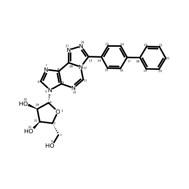 OC[C@H]1O[C@@H](n2cnc3c2ncn2c(-c4ccc(-c5ccccc5)cc4)nnc32)[C@H](O)[C@@H]1O